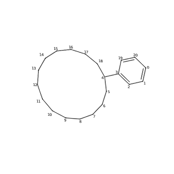 c1ccc(C2CCCCCCCCCCCCCC2)cc1